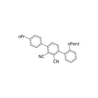 CCCCCc1ccccc1-c1ccc(-c2ccc(CCC)cc2)c(C#N)c1C#N